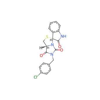 O=C1[C@@H]2CS[C@]3(C(=O)Nc4ccccc43)N2C(=O)N1Cc1ccc(Cl)cc1